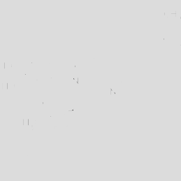 CC(C)CC1CC(c2onc(C(CCO[Si](c3ccccc3)(c3ccccc3)C(C)(C)C)N(C)CC(=O)OC(C)(C)C)c2C2CC2)C1